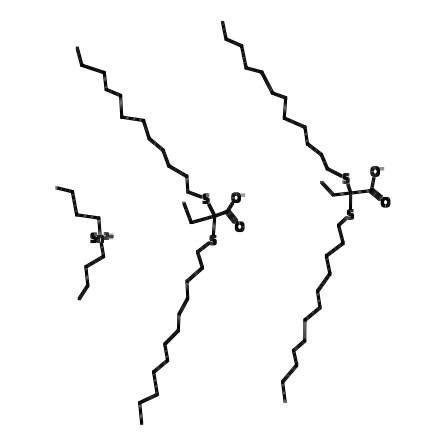 CCCCCCCCCCCCSC(CC)(SCCCCCCCCCCCC)C(=O)[O-].CCCCCCCCCCCCSC(CC)(SCCCCCCCCCCCC)C(=O)[O-].CCC[CH2][Sn+2][CH2]CCC